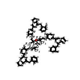 O=P(OC(CNc1nc(-c2cn3ccnc3c(Cc3ccccc3F)n2)ncc1F)(C(F)(F)F)C(F)(F)F)(OC(CNc1nc(-c2cn3ccnc3c(Cc3ccccc3F)n2)ncc1F)(C(F)(F)F)C(F)(F)F)OC(CNc1nc(-c2cn3ccnc3c(Cc3ccccc3F)n2)ncc1F)(C(F)(F)F)C(F)(F)F